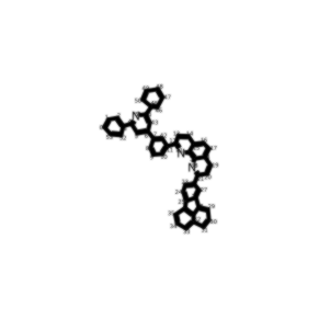 c1ccc(-c2cc(-c3cccc(-c4ccc5ccc6ccc(-c7ccc8c(c7)-c7cccc9cccc-8c79)nc6c5n4)c3)cc(-c3ccccc3)n2)cc1